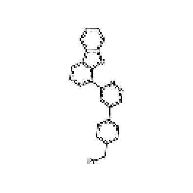 CC(C)Cc1ccc(-c2ccnc(-c3cccc4c3oc3ccccc34)c2)cc1